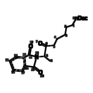 CCCCCCCCCCCCCCCC(=O)C(C)N1C(=O)c2ccccc2C1=O